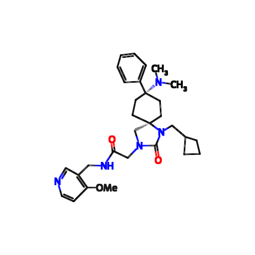 COc1ccncc1CNC(=O)CN1C[C@]2(CC[C@@](c3ccccc3)(N(C)C)CC2)N(CC2CCC2)C1=O